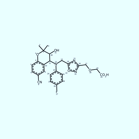 CC1(C)Oc2ccc(C#N)cc2C(N(Cc2nc(COCC(=O)O)no2)c2ccc(F)cc2)C1O